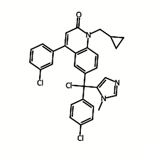 Cn1cncc1C(Cl)(c1ccc(Cl)cc1)c1ccc2c(c1)c(-c1cccc(Cl)c1)cc(=O)n2CC1CC1